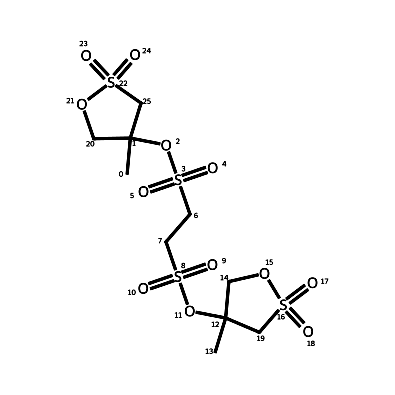 CC1(OS(=O)(=O)CCS(=O)(=O)OC2(C)COS(=O)(=O)C2)COS(=O)(=O)C1